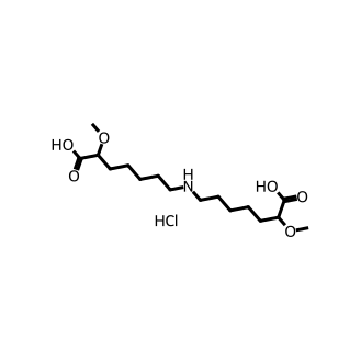 COC(CCCCCNCCCCCC(OC)C(=O)O)C(=O)O.Cl